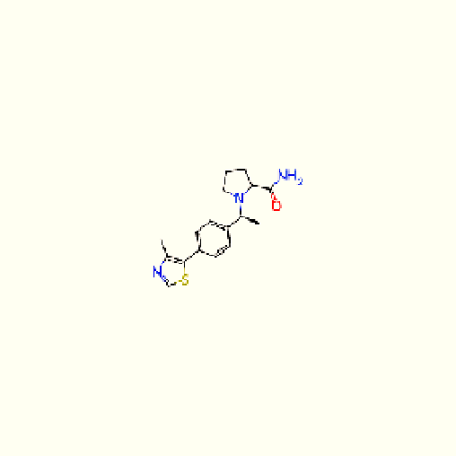 Cc1ncsc1-c1ccc([C@H](C)N2CCCC2C(N)=O)cc1